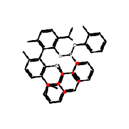 Cc1ccccc1OP(Oc1ccccc1C)Oc1c(C(C)C)ccc(C)c1-c1c(C)ccc(C(C)C)c1OP(c1ccccc1)c1ccccc1